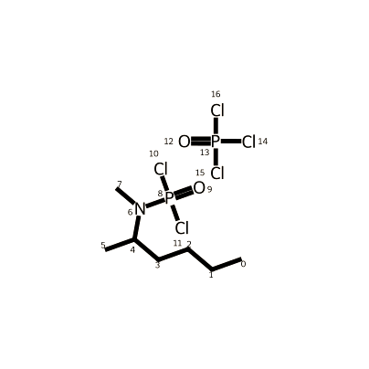 CCCCC(C)N(C)P(=O)(Cl)Cl.O=P(Cl)(Cl)Cl